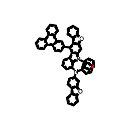 c1ccc(N(c2ccc3c(c2)oc2ccccc23)c2cccc3c4c(-c5ccc6c7ccccc7c7ccccc7c6c5)c5c(cc4n(-c4ccccc4)c23)oc2ccccc25)cc1